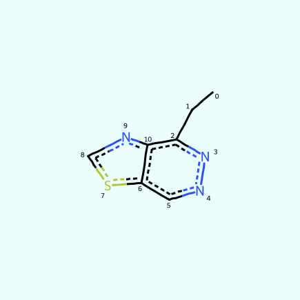 CCc1nncc2scnc12